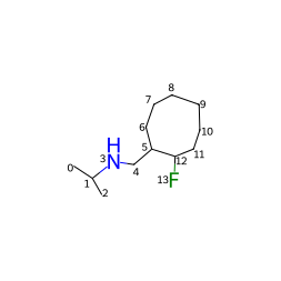 CC(C)NCC1CCCCCCC1F